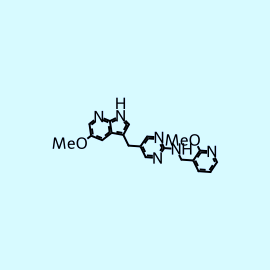 COc1cnc2[nH]cc(Cc3cnc(NCc4cccnc4OC)nc3)c2c1